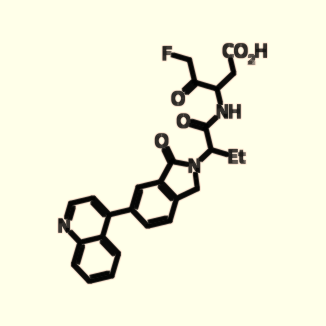 CCC(C(=O)NC(CC(=O)O)C(=O)CF)N1Cc2ccc(-c3ccnc4ccccc34)cc2C1=O